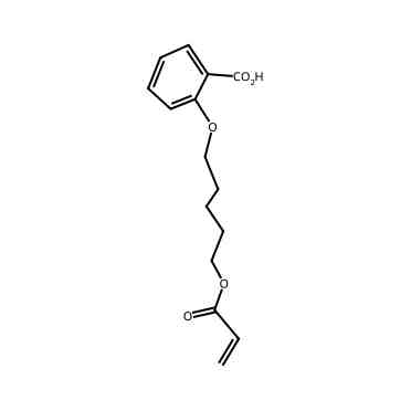 C=CC(=O)OCCCCCOc1ccccc1C(=O)O